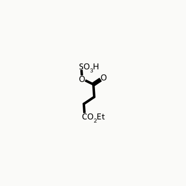 CCOC(=O)CCC(=O)OS(=O)(=O)O